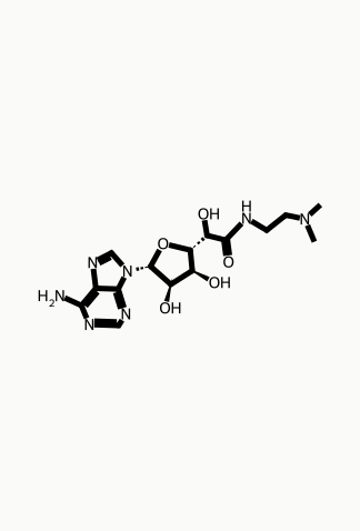 CN(C)CCNC(=O)C(O)[C@H]1O[C@@H](n2cnc3c(N)ncnc32)[C@H](O)[C@@H]1O